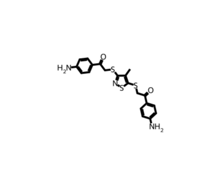 Cc1c(SCC(=O)c2ccc(N)cc2)nsc1SCC(=O)c1ccc(N)cc1